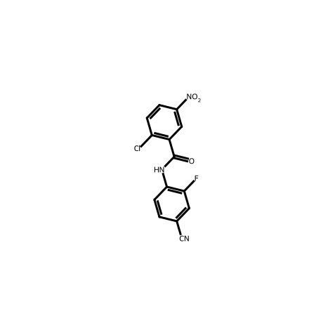 N#Cc1ccc(NC(=O)c2cc([N+](=O)[O-])ccc2Cl)c(F)c1